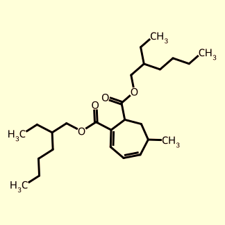 CCCCC(CC)COC(=O)C1=CC=CC(C)CC1C(=O)OCC(CC)CCCC